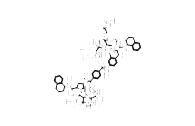 CN[C@@H](C)C(=O)NC(C(=O)N1C[C@@H](NC(=O)c2ccc(C(=O)Nc3ccc4c(c3)CN(C(=O)[C@@H](NC(=O)[C@H](C)NC)C(C)(C)SCC(=O)OC)[C@H](C(=O)NC3CCCc5ccccc53)C4)cc2)CC1C(=O)N[C@@H]1CCCc2ccccc21)C(C)(C)C